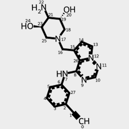 C#Cc1cccc(Nc2ncnn3ccc(CN4C[C@@H](O)C(N)[C@H](O)C4)c23)c1